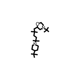 CC(C)(CCC(C)(C)N1CCC(C(C)(C)C)CC1)CC1CN(C(C)(C)C)CCO1